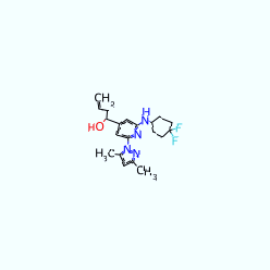 C=CCC(O)c1cc(NC2CCC(F)(F)CC2)nc(-n2nc(C)cc2C)c1